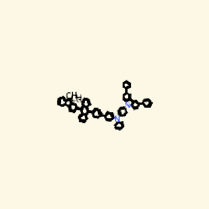 CC1(C)c2ccccc2-c2ccc(-c3c4ccccc4c(-c4ccc(-c5ccc(N(c6ccccc6)c6ccc(-n7c8ccc(-c9ccccc9)cc8c8cc(-c9ccccc9)ccc87)cc6)cc5)cc4)c4ccccc34)cc21